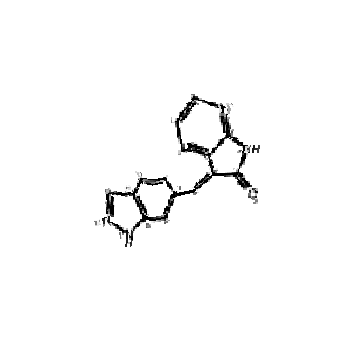 O=C1Nc2ncccc2/C1=C\c1ccc2cn[nH]c2c1